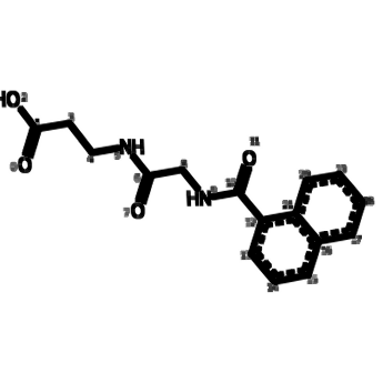 O=C(O)CCNC(=O)CNC(=O)c1cccc2ccccc12